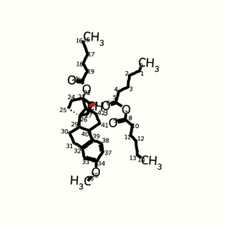 CCCCCC(=O)OC(=O)CCCCC.CCCCCC(=O)O[C@]12CC[C@]3(CC1)C1CCc4cc(OC)ccc4C1CC[C@]23C